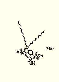 CCCCCCCCCCCCN(CCCCCCCCCCCC)c1cc(S(=O)(=O)O)c2ccc3c(S(=O)(=O)O)cc(S(=O)(=O)O)c4ccc1c2c43.[Na].[Na].[Na]